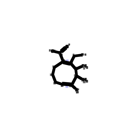 CC1/C(CF)=C(/[N+](=O)[O-])CCC/C=C(/Br)C1N